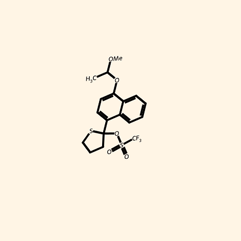 COC(C)Oc1ccc(C2(OS(=O)(=O)C(F)(F)F)CCCS2)c2ccccc12